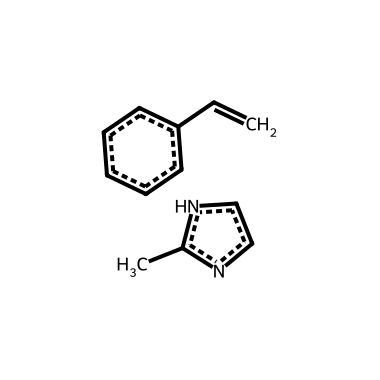 C=Cc1ccccc1.Cc1ncc[nH]1